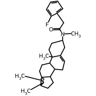 CC1C2CCC3C4CC=C5CC(N(C)C(=O)Cc6ccccc6F)CCC5(C)C4CCC32CN1C